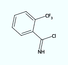 N=C(Cl)c1ccccc1C(F)(F)F